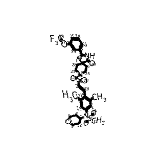 Cc1cc(N(C2CCOCC2)S(C)(=O)=O)cc(C)c1/C=C/S(=O)(=O)N1CCC2(CC1)N=C(c1cccc(OC(F)(F)F)c1)NC2=O